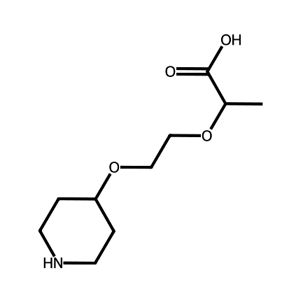 CC(OCCOC1CCNCC1)C(=O)O